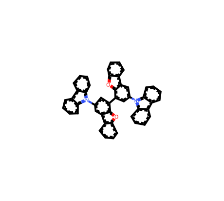 c1ccc2c(c1)oc1c(-c3cc(-n4c5ccccc5c5ccccc54)cc4c3oc3ccccc34)cc(-n3c4ccccc4c4ccccc43)cc12